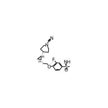 CS(=N)(=O)c1ccc(OCC[C@@H]2C[C@@H]2C2CCN(C#N)CC2)c(F)c1